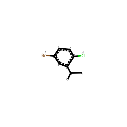 [CH2]C(C)c1cc(Br)ccc1Cl